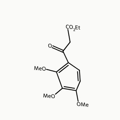 CCOC(=O)CC(=O)c1ccc(OC)c(OC)c1OC